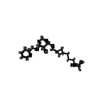 CC(=O)NCCCC1CC(COc2ncnc(OCc3ccccn3)c2Cl)C1